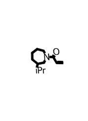 C=CC(=O)N1CCCCC(C(C)C)C1